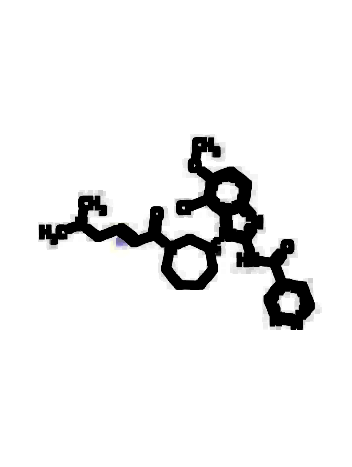 COc1ccc2nc(NC(=O)c3ccnnc3)n([C@@H]3CCCCN(C(=O)/C=C/CN(C)C)C3)c2c1Cl